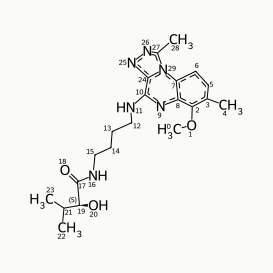 COc1c(C)ccc2c1nc(NCCCCNC(=O)[C@@H](O)C(C)C)c1nnc(C)n12